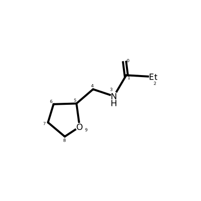 C=C(CC)NCC1CCCO1